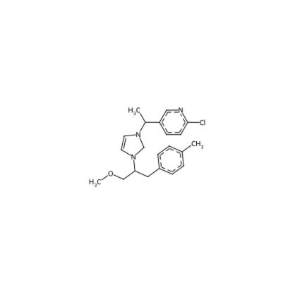 COCC(Cc1ccc(C)cc1)N1C=CN(C(C)c2ccc(Cl)nc2)C1